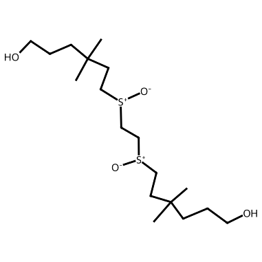 CC(C)(CCCO)CC[S+]([O-])CC[S+]([O-])CCC(C)(C)CCCO